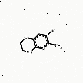 Cc1nc2c(cc1Br)OCCO2